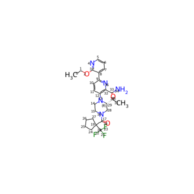 CCOc1ncccc1-c1ccc(N2CCN(C(=O)C3(C(F)(F)F)CCCC3)C[C@H]2CC)c(C(N)=O)n1